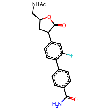 CC(=O)NC[C@@H]1CC(c2ccc(-c3ccc(C(N)=O)cc3)c(F)c2)C(=O)O1